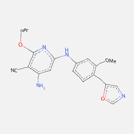 CCCOc1nc(Nc2ccc(-c3cnco3)c(OC)c2)cc(N)c1C#N